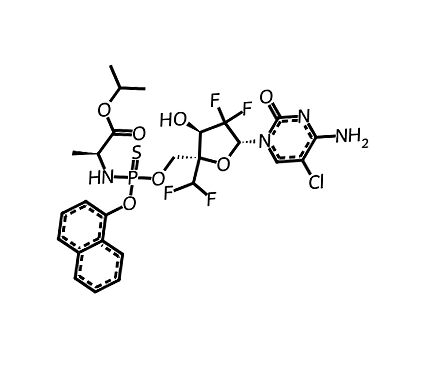 CC(C)OC(=O)[C@H](C)NP(=S)(OC[C@@]1(C(F)F)O[C@@H](n2cc(Cl)c(N)nc2=O)C(F)(F)[C@@H]1O)Oc1cccc2ccccc12